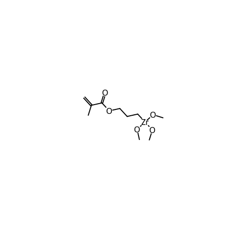 C=C(C)C(=O)OCC[CH2][Zr]([O]C)([O]C)[O]C